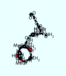 C=C1C[C@@H]2CC[C@@H](OC)C[C@H]3O[C@H]4C5C(O[C@H]6CC[C@H](CC(=O)C[C@@H]7[C@@H](OC)[C@@H](C[C@H](O)CNC(=O)OCc8ccc(NC(=O)[C@H](CCCNC(N)=O)NC(=O)[C@@H](NC(=O)CCOCCOCCN9C(=O)C=CC9=O)C(C)C)cc8)O[C@H]7C[C@H]7O[C@H](CCC7=C)CC[C@@H]1O2)O[C@@H]6[C@@H]5O)[C@H]34